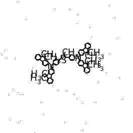 Cc1cc(-c2ccc(N(c3ccc4c(c3)C(C)(C)c3ccccc3-4)c3ccc4c(c3)C(C)(C)c3ccccc3-4)cc2)sc1-c1ccc(N(c2ccc3c(c2)C(C)(C)c2ccccc2-3)c2ccc3c(c2)C(C)(C)c2ccccc2-3)cc1